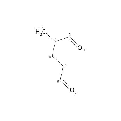 CC(C=O)CCC=O